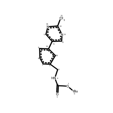 CC(C)(C)OC(=O)NCc1cccc(-c2cnc(C(F)(F)F)nc2)c1